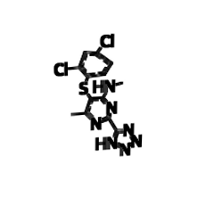 CNc1nc(-c2nnn[nH]2)nc(C)c1Sc1ccc(Cl)cc1Cl